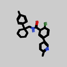 Cc1ccc(C2(CNC(=O)C3C=C(c4ccc(C)nc4)C=CC3Cl)CCCCC2)cc1